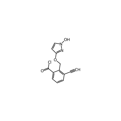 C#Cc1cccc(C(=O)Cl)c1COc1ccn(O)n1